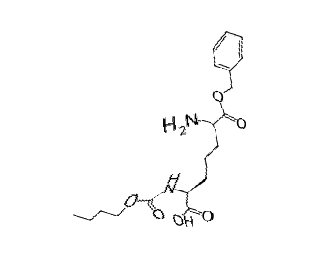 CCCCOC(=O)N[C@@H](CCCC(N)C(=O)OCc1ccccc1)C(=O)O